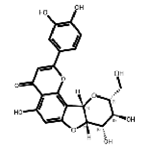 O=c1cc(-c2ccc(O)c(O)c2)oc2c3c(cc(O)c12)O[C@H]1[C@@H](O)[C@H](O)[C@@H](CO)O[C@@H]31